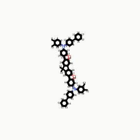 Cc1ccc(N(c2ccc(-c3ccccc3)cc2)c2ccc3c(c2)oc2cc4c(cc23)C(C)(C)c2cc3c(cc2-4)oc2cc(N(c4ccc(-c5ccccc5)cc4)c4ccc(C)c(C)c4)ccc23)cc1C